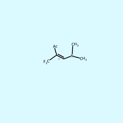 CC(=O)/C(=C\N(C)C)C(F)(F)F